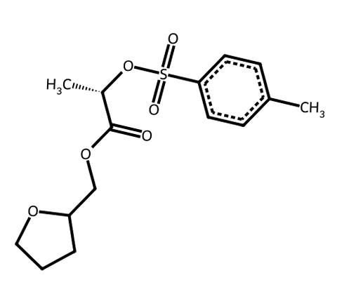 Cc1ccc(S(=O)(=O)O[C@@H](C)C(=O)OCC2CCCO2)cc1